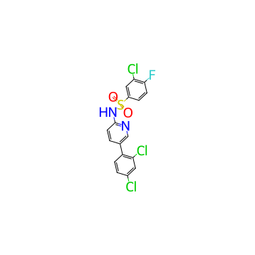 O=S(=O)(Nc1ccc(-c2ccc(Cl)cc2Cl)cn1)c1ccc(F)c(Cl)c1